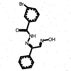 O=C(NN=C(C=NO)c1ccccc1)c1cccc(Br)c1